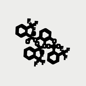 O=S(=O)(Oc1cccc(OS(=O)(=O)c2ccccc2C(F)(F)F)c1OS(=O)(=O)c1ccccc1C(F)(F)F)c1ccccc1C(F)(F)F